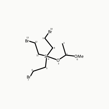 COC(C)O[Si](CCBr)(CCBr)CCBr